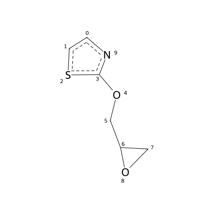 c1csc(OCC2CO2)n1